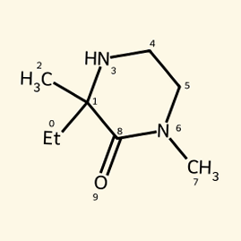 CCC1(C)NCCN(C)C1=O